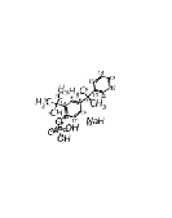 CC(C)(C)c1cc(C(C)(C)c2ccccc2)ccc1OP(=O)(O)O.[NaH]